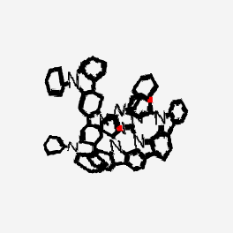 C1=CCC(c2nc(-n3c4c(c5c3CC3C(=C5)N(C5=CCCC=C5)c5ccccc53)C=C3C(C4)C4=C(CCC=C4)N3C3=CCCC=C3)nc(-n3c4c5c(ccc4c4ccc6c7ccccc7n(-c7ccccc7)c6c43)C3CCC=CC3N5C3C=CC=CC3)n2)C=C1